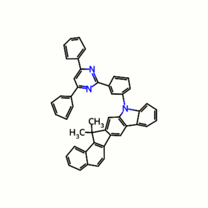 CC1(C)c2cc3c(cc2-c2ccc4ccccc4c21)c1ccccc1n3-c1cccc(-c2nc(-c3ccccc3)cc(-c3ccccc3)n2)c1